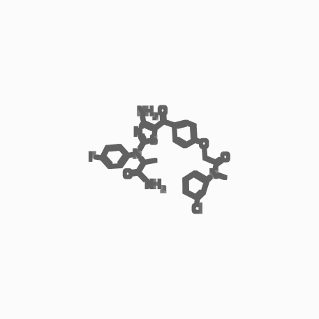 CC(C(N)=O)N(c1ccc(F)cc1)c1nc(N)c(C(=O)c2ccc(OCC(=O)N(C)c3cccc(Cl)c3)cc2)s1